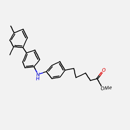 COC(=O)CCCCc1ccc(Nc2ccc(-c3ccc(C)cc3C)cc2)cc1